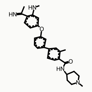 CNc1cc(Oc2cccc(-c3ccc(C(=O)NC4CCN(C)CC4)c(C)c3)c2)ccc1C(C)=N